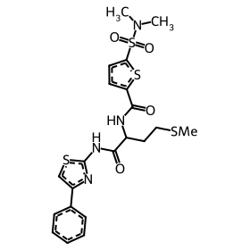 CSCCC(NC(=O)c1ccc(S(=O)(=O)N(C)C)s1)C(=O)Nc1nc(-c2ccccc2)cs1